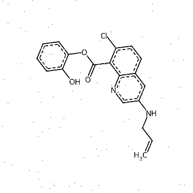 C=CCNc1cnc2c(C(=O)Oc3ccccc3O)c(Cl)ccc2c1